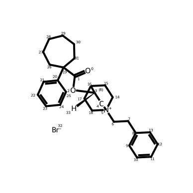 O=C(O[C@H]1C[N+]2(CCc3ccccc3)CCC1CC2)C1(c2ccccc2)CCCCCC1.[Br-]